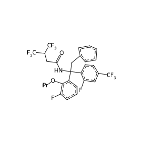 CC(C)Oc1c(F)cccc1C(Cc1ccccc1)(NC(=O)CC(C(F)(F)F)C(F)(F)F)c1ccc(C(F)(F)F)cc1F